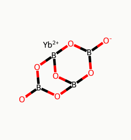 [O-]B1OB2OB([O-])OB(O1)O2.[Yb+2]